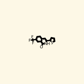 O=c1[nH]c(-c2cccs2)cc2ccc(C(F)(F)F)cc12